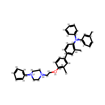 Cc1cccc(N(c2ccccc2)c2ccc(-c3ccc(OCCN4CCN(c5ccccc5)CC4)c(C)c3)cc2C)c1